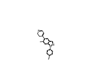 Cc1cc2c(cnn2-c2ccc(F)cc2)cc1C1=CC=NCC1